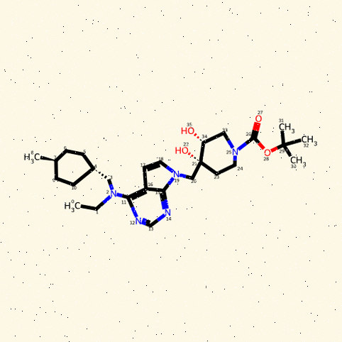 CCN(C[C@H]1CC[C@H](C)CC1)c1ncnc2c1ccn2C[C@]1(O)CCN(C(=O)OC(C)(C)C)C[C@H]1O